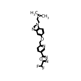 CN(C)CCn1cnc2cc(OCc3ccc(-c4nnc(C(F)F)o4)cn3)ccc21